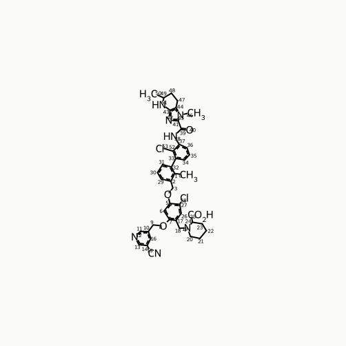 Cc1c(COc2cc(OCc3cncc(C#N)c3)c(CN3CCCCC3C(=O)O)cc2Cl)cccc1-c1cccc(NC(=O)c2nc3c(n2C)CCC(C)N3)c1Cl